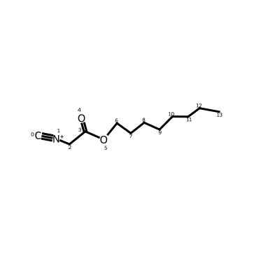 [C-]#[N+]CC(=O)OCCCCCCCC